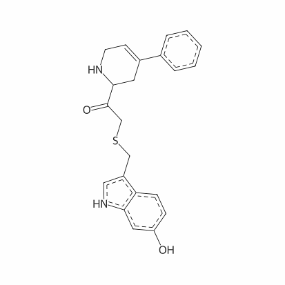 O=C(CSCc1c[nH]c2cc(O)ccc12)C1CC(c2ccccc2)=CCN1